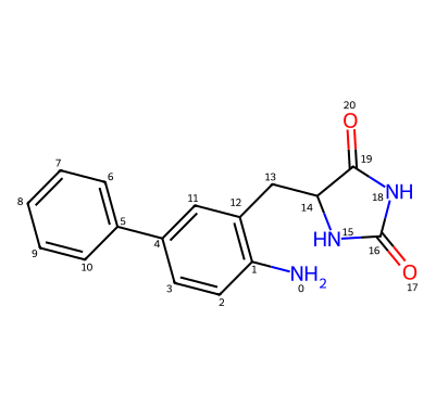 Nc1ccc(-c2ccccc2)cc1CC1NC(=O)NC1=O